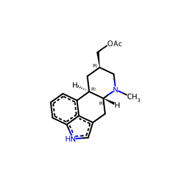 CC(=O)OC[C@@H]1C[C@@H]2c3cccc4[nH]cc(c34)C[C@H]2N(C)C1